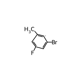 Cc1[c]c(Br)cc(F)c1